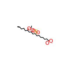 C=CCCCC(CCCC(CCCCCCC(=O)OC)S(C)(=O)=O)OC(C)=O